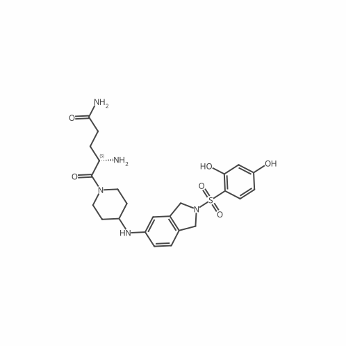 NC(=O)CC[C@H](N)C(=O)N1CCC(Nc2ccc3c(c2)CN(S(=O)(=O)c2ccc(O)cc2O)C3)CC1